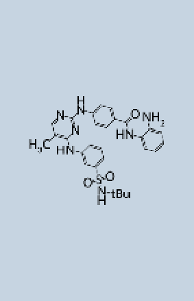 Cc1cnc(Nc2ccc(C(=O)Nc3ccccc3N)cc2)nc1Nc1cccc(S(=O)(=O)NC(C)(C)C)c1